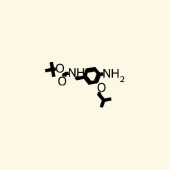 CC(C)COc1cc(CNC(=O)OC(C)(C)C)ccc1N